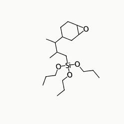 CCCO[Si](CC(C)C(C)C1CCC2OC2C1)(OCCC)OCCC